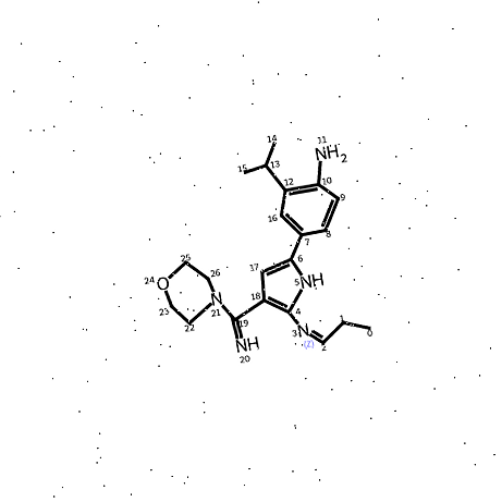 CC/C=N\c1[nH]c(-c2ccc(N)c(C(C)C)c2)cc1C(=N)N1CCOCC1